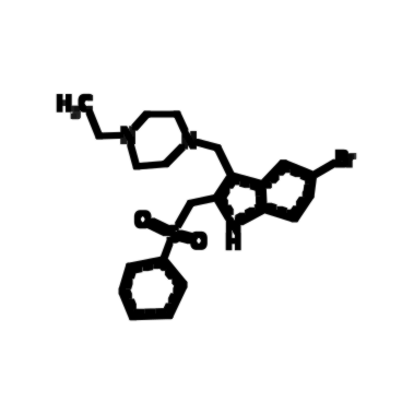 CCN1CCN(Cc2c(CS(=O)(=O)c3ccccc3)[nH]c3ccc(Br)cc23)CC1